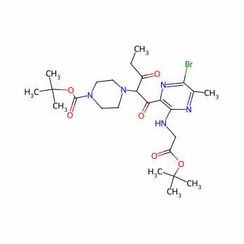 CCC(=O)C(C(=O)c1nc(Br)c(C)nc1NCC(=O)OC(C)(C)C)N1CCN(C(=O)OC(C)(C)C)CC1